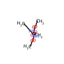 CCCCCCCCCCCCCC1=C(NCCCC(=O)OCCCCCC)C(=O)C(C)=C(NCCCC(=O)OCCCCCC)C1=O